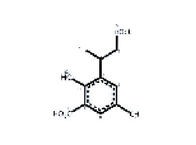 CCCCCCCCCC(I)c1cc(C)cc(C(=O)O)c1O